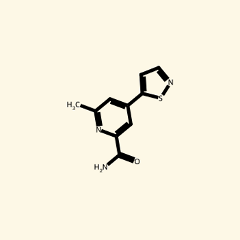 Cc1cc(-c2ccns2)cc(C(N)=O)n1